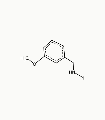 COc1cccc(CNI)c1